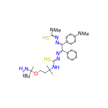 CN/C(S)=N/N=C(/C(=N/N=C(\S)NC(C)(C)CCOC(C)(N)C(C)(C)C)c1ccccc1)c1ccc(NC)cc1